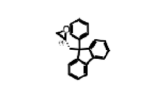 c1ccc(C2(C[C@@H]3CO3)c3ccccc3-c3ccccc32)cc1